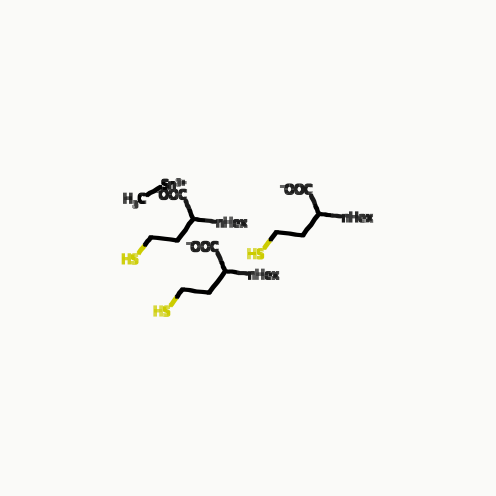 CCCCCCC(CCS)C(=O)[O-].CCCCCCC(CCS)C(=O)[O-].CCCCCCC(CCS)C(=O)[O-].[CH3][Sn+3]